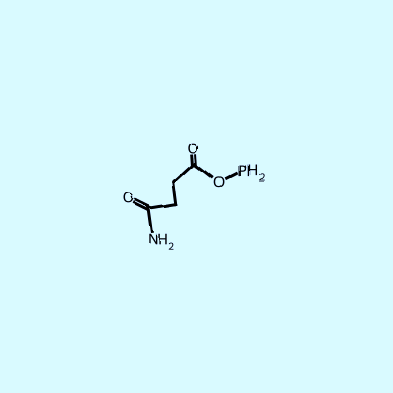 NC(=O)CCC(=O)OP